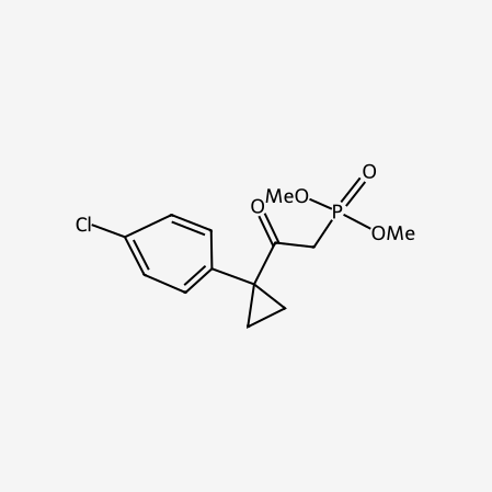 COP(=O)(CC(=O)C1(c2ccc(Cl)cc2)CC1)OC